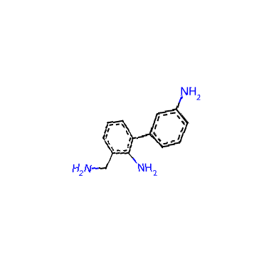 NCc1cccc(-c2cccc(N)c2)c1N